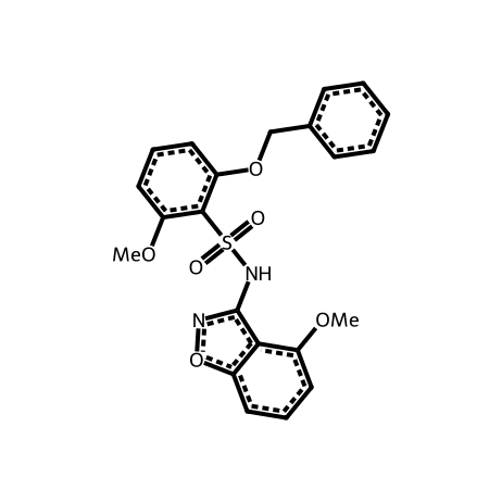 COc1cccc(OCc2ccccc2)c1S(=O)(=O)Nc1noc2cccc(OC)c12